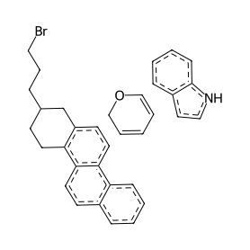 BrCCCC1CCc2c(ccc3c2ccc2ccccc23)C1.C1=CCOC=C1.c1ccc2[nH]ccc2c1